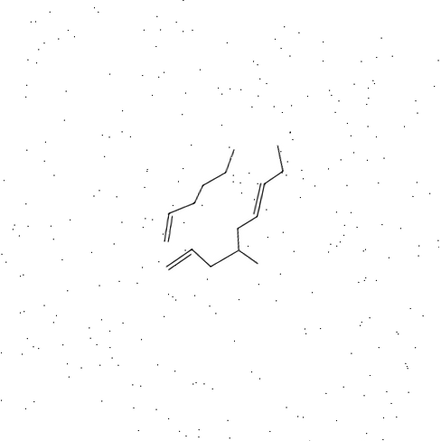 C=CCC(C)CC=CCC.C=CCCCC